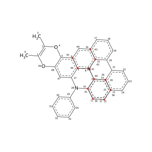 CC1=C(C)Oc2cc(N(c3ccccc3)c3ccccc3-c3ccccc3)c(N(c3ccccc3)c3ccccc3-c3ccccc3)cc2O1